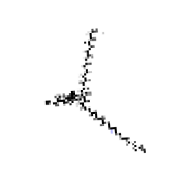 CCCCCC/C=C/CCCCCCCCOC(COP(=O)(O)OCC(O)CO)CS(=O)(=O)CCCCCCCCCCCCCCCC